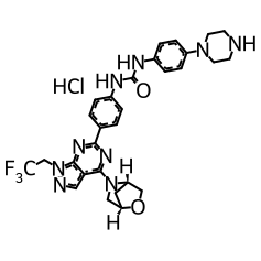 Cl.O=C(Nc1ccc(-c2nc(N3C[C@@H]4C[C@H]3CO4)c3cnn(CC(F)(F)F)c3n2)cc1)Nc1ccc(N2CCNCC2)cc1